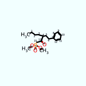 CCCCC(CCc1ccccc1)C(=O)CP(=O)(OC)OC